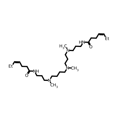 CC/C=C\CCC(=O)NCCCN(C)CCCCN(C)CCCN(C)CCCNC(=O)CC/C=C\CC